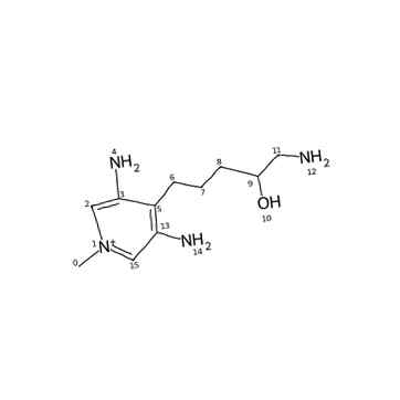 C[n+]1cc(N)c(CCCC(O)CN)c(N)c1